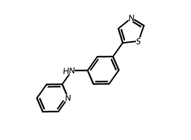 c1ccc(Nc2cccc(-c3cncs3)c2)nc1